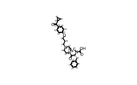 CN(C(=O)O)[C@H](Cc1ccccc1)C(=O)N1CCN(CCCOc2ccc(C(=O)C3CC3)cc2)CC1